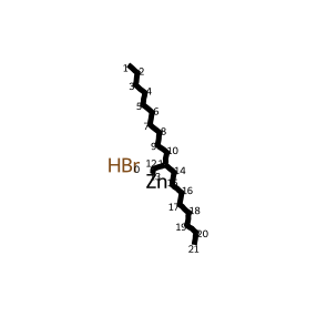 Br.CCCCCCCCCCC([CH2][Zn])CCCCCCCC